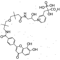 CC(C)(CNC(=O)c1ccc(-c2cc(=O)c3ccc(O)c(O)c3o2)cc1)COCC(C)(C)CC(=O)NCC(O)C[n+]1cccc(CC(O)(C(=O)O)P(=O)(O)O)c1